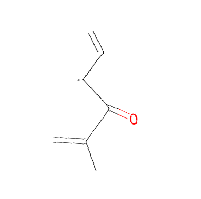 C=C[CH]C(=O)C(=C)C